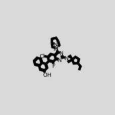 CCC1CCC2(C1)CN(c1nc(N3CC4CCC(C3)N4)c3cc(Cl)c(-c4cc(O)cc5ccccc45)c(F)c3n1)C2